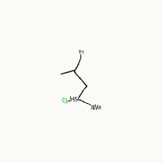 CCC(C)C[SiH](Cl)NC